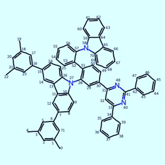 Cc1cc(C)cc(-c2ccc3c(c2)c2cc(-c4cc(C)cc(C)c4)ccc2n3-c2cc(-c3cc(-c4ccccc4)nc(-c4ccccc4)n3)ccc2-c2ccccc2-n2c3ccccc3c3ccccc32)c1